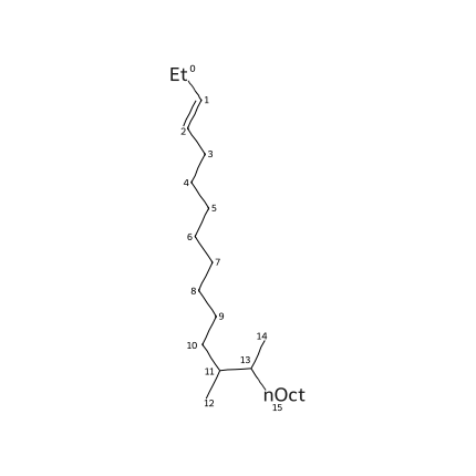 [CH2]C/C=C/CCCCCCCCC(C)C(C)CCCCCCC[CH2]